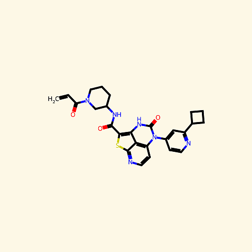 C=CC(=O)N1CCCC(NC(=O)c2sc3nccc4c3c2NC(=O)N4c2ccnc(C3CCC3)c2)C1